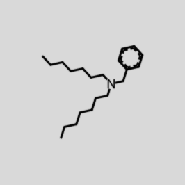 CCCCCCCN(CCCCCCC)Cc1ccccc1